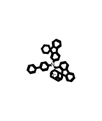 c1ccc(-c2ccc(N(Cc3cccc4c3C3(c5ccccc5-4)C4CCC5CC(C4)CC3C5)c3ccc4c(c3)C3(CCCCC3)c3ccccc3-4)cc2)cc1